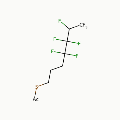 CC(=O)SCCCC(F)(F)C(F)(F)C(F)C(F)(F)F